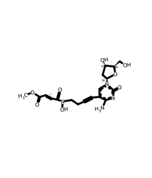 COC(=O)/C=C/C(=O)N(O)CCC#Cc1cn([C@H]2C[C@H](O)[C@@H](CO)O2)c(=O)nc1N